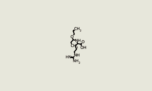 C=CCOC(CC)NC(CCCNC(=N)N)C(=O)O